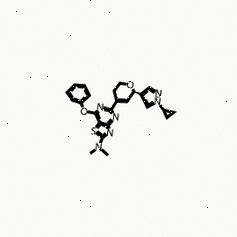 CN(C)c1nc2nc(C3=C[C@H](c4cnn(C5CC5)c4)OCC3)nc(Oc3ccccc3)c2s1